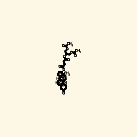 CC(=O)OCC(COC(C)=O)OC(=O)CCC(=O)O[C@H]1CC[C@H]2[C@@H]3CCC4=CC(=O)CC[C@]4(C)[C@H]3CCC12C